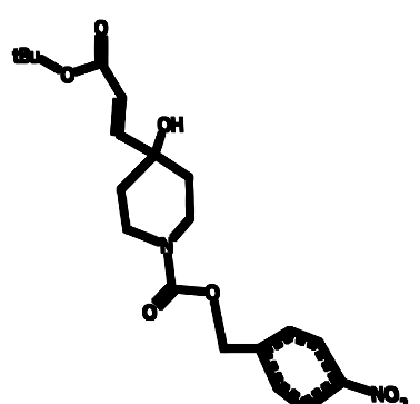 CC(C)(C)OC(=O)C=CC1(O)CCN(C(=O)OCc2ccc([N+](=O)[O-])cc2)CC1